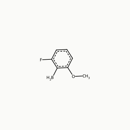 Bc1c(F)cccc1OC